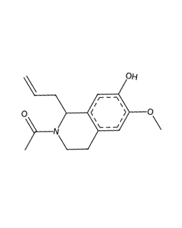 C=CCC1c2cc(O)c(OC)cc2CCN1C(C)=O